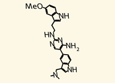 COc1ccc2[nH]cc(CCNc3ncc(-c4ccc5[nH]cc(CN(C)C)c5c4)c(N)n3)c2c1